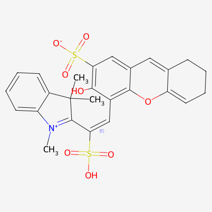 C[N+]1=C(/C(=C\c2c(O)c(S(=O)(=O)[O-])cc3c2OC2=CCCCC2=C3)S(=O)(=O)O)C(C)(C)c2ccccc21